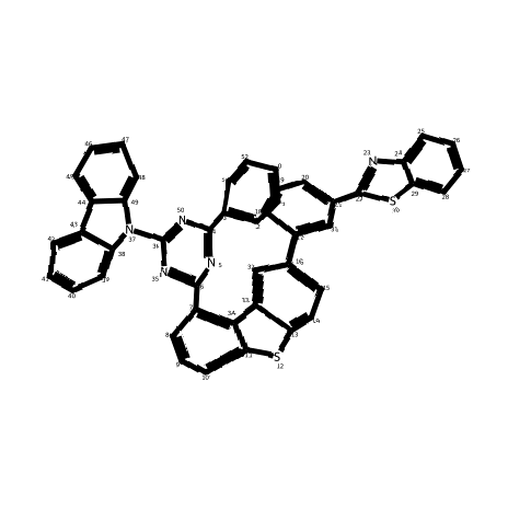 c1ccc(-c2nc(-c3cccc4sc5ccc(-c6cccc(-c7nc8ccccc8s7)c6)cc5c34)nc(-n3c4ccccc4c4ccccc43)n2)cc1